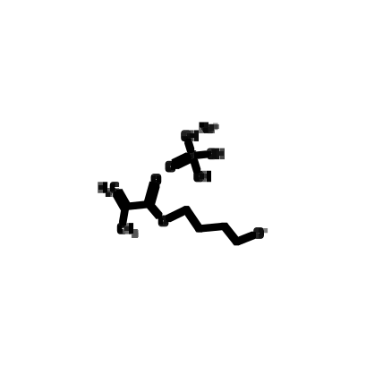 C=C(C)C(=O)OCCCC[O-].O=P(O)(O)O.[Na+]